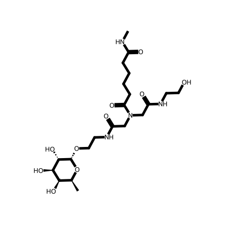 CNC(=O)CCCCC(=O)N(CC(=O)NCCO)CC(=O)NCCO[C@@H]1O[C@@H](C)[C@@H](O)[C@@H](O)[C@@H]1O